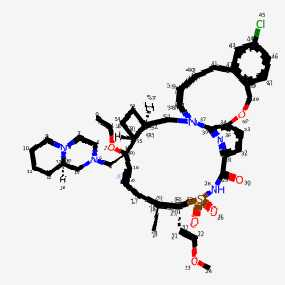 CCO[C@@]1(CN2CCN3CCCC[C@@H]3C2)/C=C/C[C@H](C)[C@@H](CCOC)S(=O)(=O)NC(=O)c2ccc3c(n2)N(CCCCc2cc(Cl)ccc2CO3)C[C@@H]2CC[C@H]21